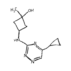 CC1(O)CC(Nc2nncc(C3CC3)n2)C1